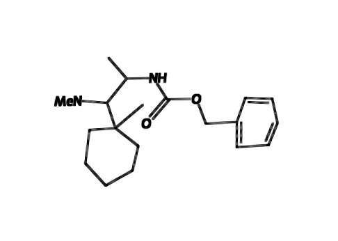 CNC(C(C)NC(=O)OCc1ccccc1)C1(C)CCCCC1